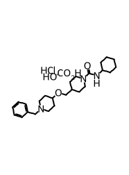 Cl.O=C(NC1CCCCC1)N1CCC(COC2CCN(Cc3ccccc3)CC2)CC1.O=C(O)O